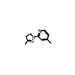 CC1=NN(c2cc(C)ccn2)CC1